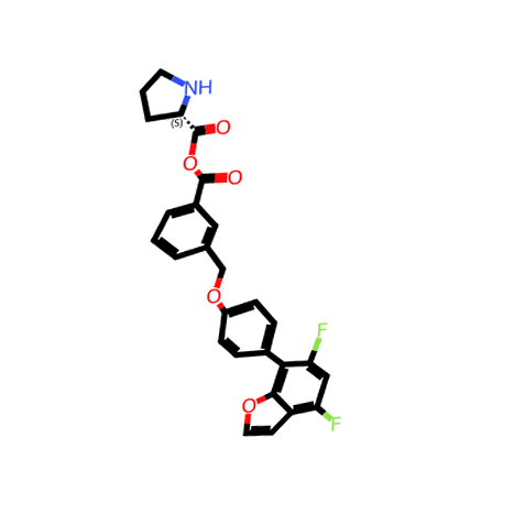 O=C(OC(=O)[C@@H]1CCCN1)c1cccc(COc2ccc(-c3c(F)cc(F)c4ccoc34)cc2)c1